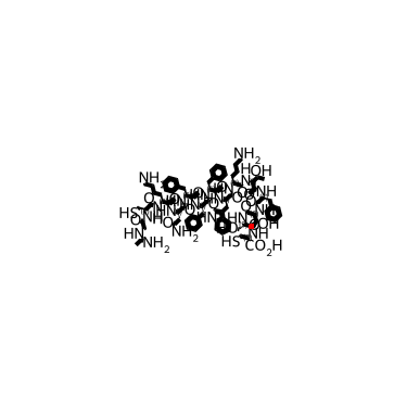 CC(N)NCC(=O)N[C@@H](CS)C(=O)N[C@@H](CCCCN)C(=O)N[C@@H](CC(N)=O)C(=O)N[C@@H](Cc1ccccc1)C(=O)N[C@@H](Cc1ccccc1)C(=O)N[C@@H](Cc1ccccc1)C(=O)N[C@H](Cc1c[nH]c2ccccc12)C(=O)N[C@@H](CCCCN)C(=O)N[C@H](C(=O)N[C@@H](Cc1ccccc1)C(=O)N[C@H](C(=O)N[C@@H](CO)C(=O)N[C@@H](CS)C(=O)O)C(C)O)C(C)O